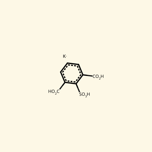 O=C(O)c1cccc(C(=O)O)c1S(=O)(=O)O.[K]